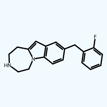 Fc1ccccc1Cc1ccc2c(c1)cc1n2CCNCC1